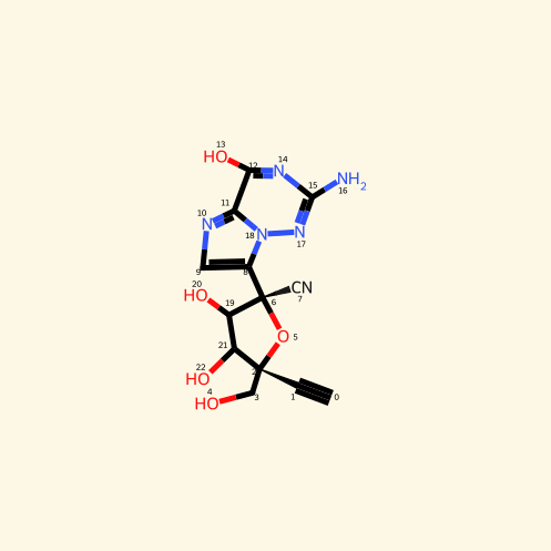 C#C[C@]1(CO)O[C@@](C#N)(c2cnc3c(O)nc(N)nn23)C(O)C1O